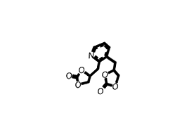 O=C1OCC(Cc2cccnc2CC2COC(=O)O2)O1